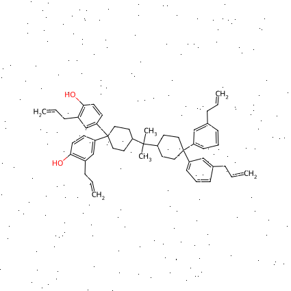 C=CCc1cccc(C2(c3cccc(CC=C)c3)CCC(C(C)(C)C3CCC(c4ccc(O)c(CC=C)c4)(c4ccc(O)c(CC=C)c4)CC3)CC2)c1